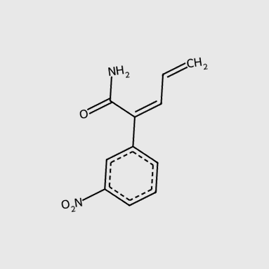 C=CC=C(C(N)=O)c1cccc([N+](=O)[O-])c1